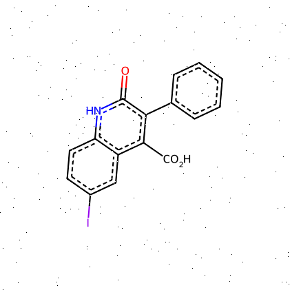 O=C(O)c1c(-c2ccccc2)c(=O)[nH]c2ccc(I)cc12